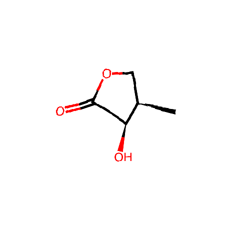 C[C@@H]1COC(=O)[C@@H]1O